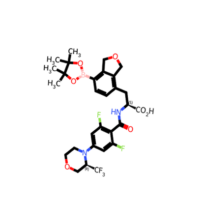 CC1(C)OB(c2ccc(C[C@H](NC(=O)c3c(F)cc(N4CCOC[C@@H]4C(F)(F)F)cc3F)C(=O)O)c3c2COC3)OC1(C)C